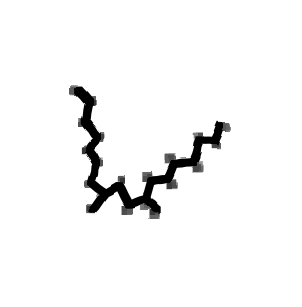 [CH2]CCCCCCC(C)CCC(C)CCCCCC[CH2]